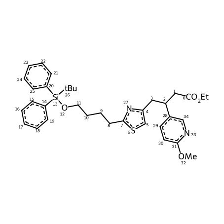 CCOC(=O)CC(Cc1csc(CCCCO[Si](c2ccccc2)(c2ccccc2)C(C)(C)C)n1)c1ccc(OC)nc1